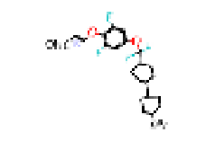 CCCC1CCC(C2CCC(C(F)(F)Oc3cc(F)c(O/C=C/C=O)c(F)c3)CC2)CC1